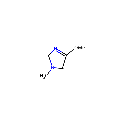 COC1=NCN(C)[CH]1